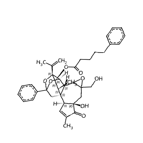 C=C(C)[C@]12OC3(c4ccccc4)C[C@]4([C@H](C)[C@H]1OC(=O)CCCCc1ccccc1)[C@@H](C1OC1(CO)C[C@]1(O)C(=O)C(C)=C[C@@H]41)[C@H]2O3